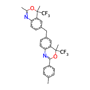 CC1=Nc2ccc(Cc3ccc4c(c3)C(C)(C(F)(F)F)OC(c3ccc(C)cc3)=N4)cc2C(C)(C(F)(F)F)O1